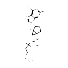 CSSCCC(C)(C)O[PH](=O)C[C@]12C[C@@H]1[C@@H](n1cnc3c(N)nc(Cl)nc31)[C@H](O)[C@@H]2O